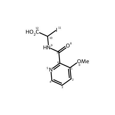 COc1cccnc1C(=O)NC(I)C(=O)O